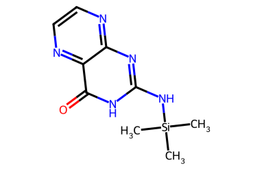 C[Si](C)(C)Nc1nc2nccnc2c(=O)[nH]1